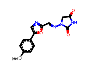 COc1ccc(-c2cnc(C=NN3CC(=O)NC3=O)o2)cc1